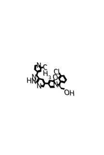 Cc1cc(-c2n[nH]c3ncc(-c4ccn([C@H](CCO)c5cccc(Cl)c5)c(=O)c4)cc23)ccn1